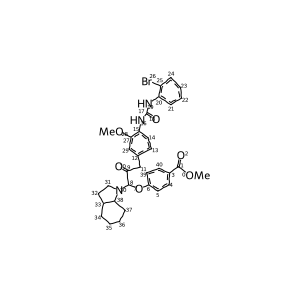 COC(=O)c1ccc(OC(C(=O)Cc2ccc(NC(=O)Nc3ccccc3Br)c(OC)c2)N2CCC3CCCCC32)cc1